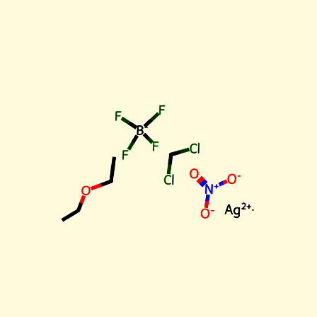 CCOCC.ClCCl.F[B-](F)(F)F.O=[N+]([O-])[O-].[Ag+2]